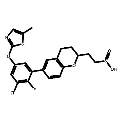 Cc1cnc(Oc2cc(Cl)c(F)c(-c3ccc4c(c3)CCC(CCS(=O)O)O4)c2)s1